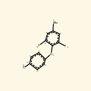 CC(C)(C)c1cc(F)c(Oc2ccc(Cl)cc2)c(F)c1